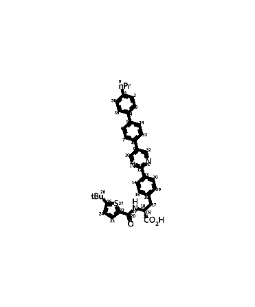 CCCc1ccc(-c2ccc(-c3cnc(-c4ccc(C[C@H](NC(=O)c5ccc(C(C)(C)C)s5)C(=O)O)cc4)nc3)cc2)cc1